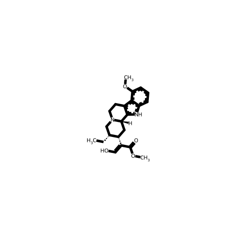 CC[C@@H]1CN2CCc3c([nH]c4cccc(OC)c34)[C@@H]2C[C@@H]1/C(=C\O)C(=O)OC